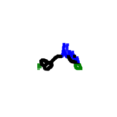 Fc1cccc2c(CCNc3cc(Cl)ncn3)cccc12